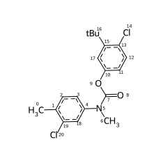 Cc1ccc(N(C)C(=O)Oc2ccc(Cl)c(C(C)(C)C)c2)cc1Cl